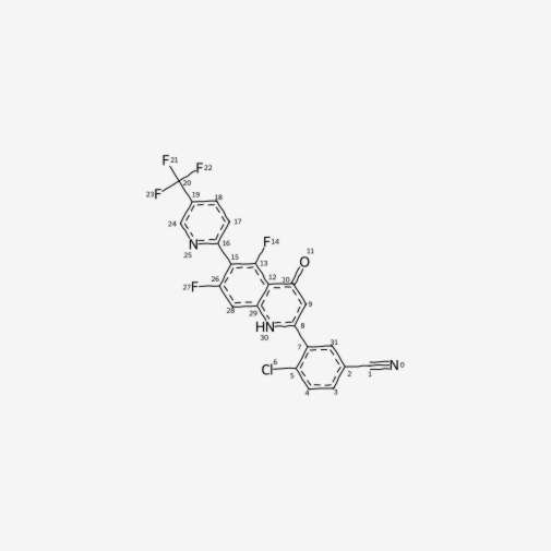 N#Cc1ccc(Cl)c(-c2cc(=O)c3c(F)c(-c4ccc(C(F)(F)F)cn4)c(F)cc3[nH]2)c1